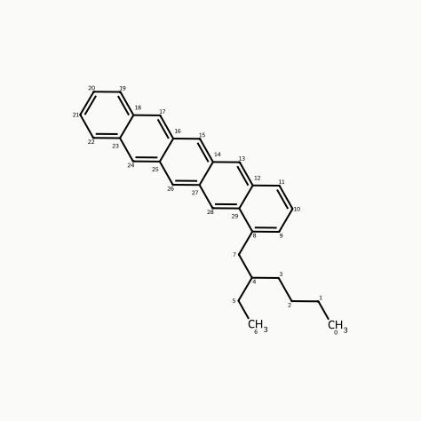 CCCCC(CC)Cc1cccc2cc3cc4cc5ccccc5cc4cc3cc12